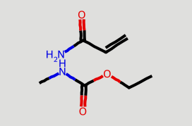 C=CC(N)=O.CCOC(=O)NC